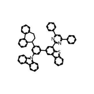 c1ccc(-c2cc(-c3ccccc3)nc(-c3cc(-c4cc(C5CCc6ccccc6-c6ccccc65)cc(-n5c6ccccc6c6ccccc65)c4)cc4c3sc3ccccc34)n2)cc1